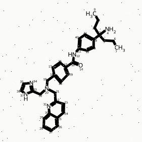 CCCC(N)(CCC)c1ccc(NC(=O)c2ccc(CN(Cc3ccc4ccccc4n3)Cc3ncc[nH]3)cc2)cc1